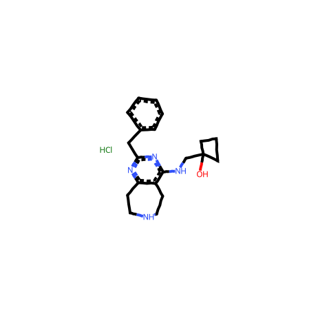 Cl.OC1(CNc2nc(Cc3ccccc3)nc3c2CCNCC3)CCC1